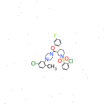 Cc1ccc(Cl)cc1N1CCN(C(=O)[C@@H]2CN(S(=O)(=O)c3ccccc3Cl)CC[C@H]2c2ccc(F)cc2)CC1